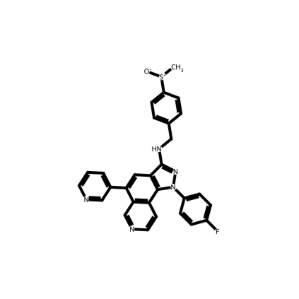 C[S+]([O-])c1ccc(CNc2nn(-c3ccc(F)cc3)c3c2cc(-c2cccnc2)c2cnccc23)cc1